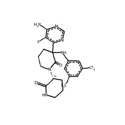 Nc1ncnc(C2(Nc3cc(C(F)(F)F)cc(C(F)(F)F)c3)CCCN([C@@H]3CCCNC3=O)C2=O)c1F